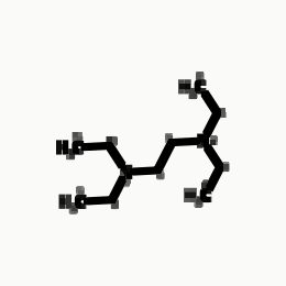 C[CH]N(CC)CCN(CC)CC